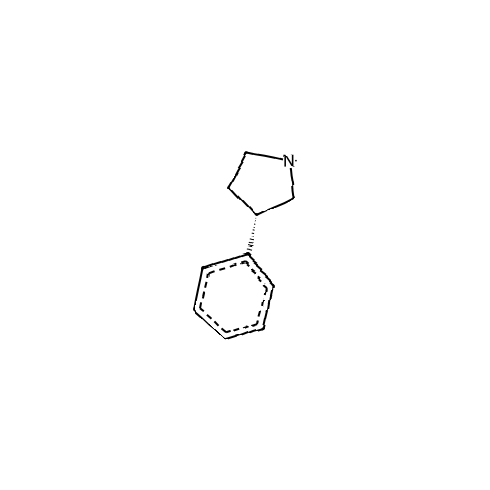 c1ccc([C@@H]2CC[N]C2)cc1